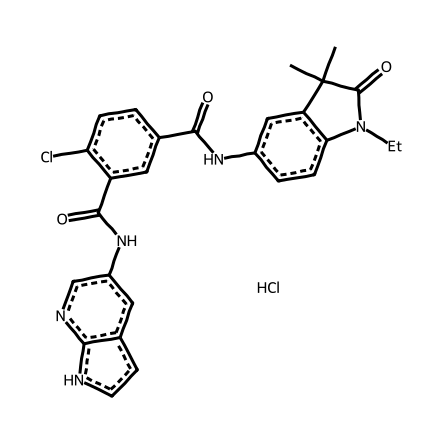 CCN1C(=O)C(C)(C)c2cc(NC(=O)c3ccc(Cl)c(C(=O)Nc4cnc5[nH]ccc5c4)c3)ccc21.Cl